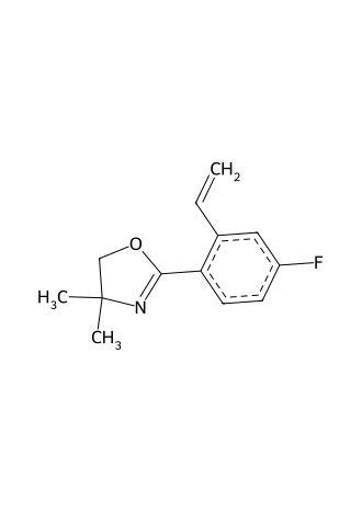 C=Cc1cc(F)ccc1C1=NC(C)(C)CO1